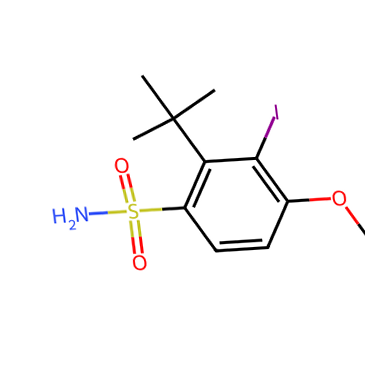 COc1ccc(S(N)(=O)=O)c(C(C)(C)C)c1I